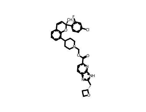 C[C@]1(c2ccc(Cl)cc2F)C=Cc2cccc(C3CCN(COC(=O)c4ccc5nc(C[C@H]6CCO6)[nH]c5n4)CC3)c2O1